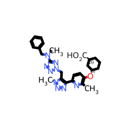 Cc1nc(-c2nnn(C)c2Cn2nnc(N(C)Cc3ccccc3)n2)ccc1O[C@H]1CCC[C@H](C(=O)O)C1